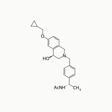 CC(=O)N[C@@H](C)c1ccc(CN2Cc3ccc(OCC4CC4)cc3[C@H](O)C2)cc1